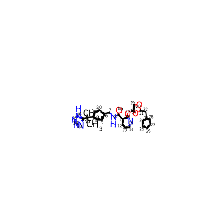 CC(C)(c1ccc(CNC(=O)c2cccnc2OC2=COC(Cc3ccccc3)O2)cc1)c1nnn[nH]1